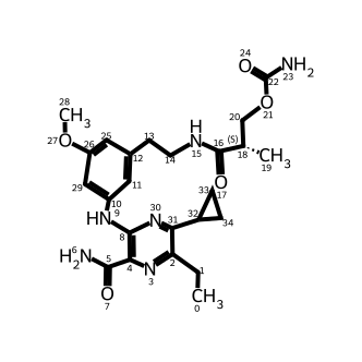 CCc1nc(C(N)=O)c(Nc2cc(CCNC(=O)[C@@H](C)COC(N)=O)cc(OC)c2)nc1C1CC1